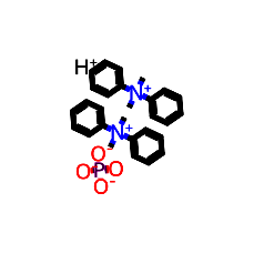 C[N+](C)(c1ccccc1)c1ccccc1.C[N+](C)(c1ccccc1)c1ccccc1.O=P([O-])([O-])[O-].[H+]